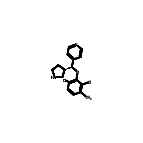 Cc1ccc(Cl)c(OC(c2ccncc2)[C@H]2CCNC2)c1Cl